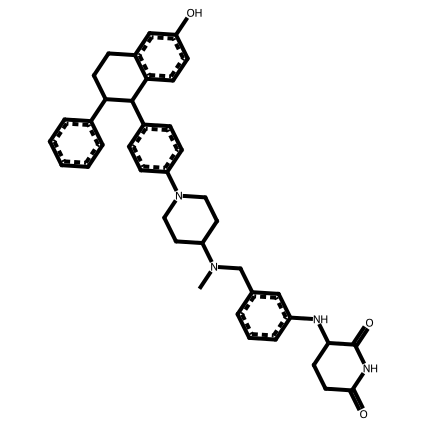 CN(Cc1cccc(NC2CCC(=O)NC2=O)c1)C1CCN(c2ccc(C3c4ccc(O)cc4CCC3c3ccccc3)cc2)CC1